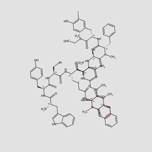 CCCC[C@@H](C(=O)N(C)CC(=O)N[C@@H](CC(=O)O)C(=O)N[C@H](C(=O)N(C)[C@@H](Cc1ccccc1)C(=O)N[C@@H](Cc1ccc(O)c(I)c1)C(=O)N(C)CC=O)C(C)C)N(C)C(=O)[C@H](Cc1ccccc1)N(C)C(=O)[C@H](Cc1ccccc1)NC(=O)CSC[C@H](NC(=O)[C@H](CC(C)C)NC(=O)[C@H](Cc1ccc(O)cc1)NC(=O)[C@@H](N)Cc1c[nH]c2ccccc12)C(=O)NCC(N)=O